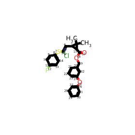 CC1(C)C(/C=C(\Cl)Sc2ccc(F)cc2)C1C(=O)OCc1cccc(Oc2ccccc2)c1